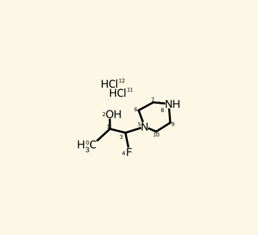 CC(O)C(F)N1CCNCC1.Cl.Cl